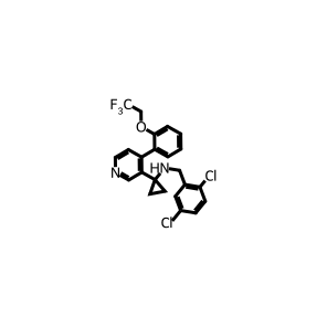 FC(F)(F)COc1ccccc1-c1ccncc1C1(NCc2cc(Cl)ccc2Cl)CC1